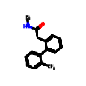 CCNC(=O)Cc1ccccc1-c1ccccc1C(F)(F)F